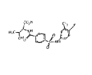 CC(O)C(NC(=O)c1ccc(S(=O)(=O)Nc2ccc(F)c(C(F)(F)F)c2)cc1)C(=O)O